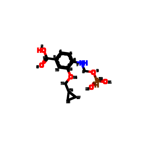 O=C(O)c1ccc(NCO[SH](=O)=O)c(OCC2CC2)c1